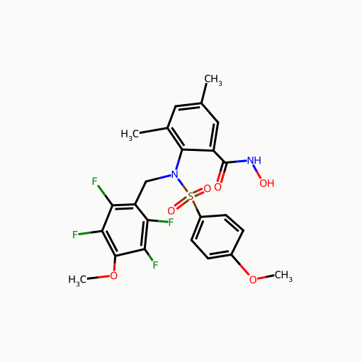 COc1ccc(S(=O)(=O)N(Cc2c(F)c(F)c(OC)c(F)c2F)c2c(C)cc(C)cc2C(=O)NO)cc1